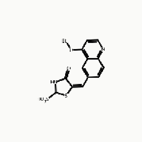 CCOc1ccnc2ccc(C=C3SC(S(=O)(=O)O)NC3=O)cc12